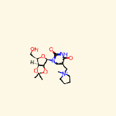 CC1(C)OC2[C@@H](O1)[C@@H](CO)O[C@H]2n1cc(C[N+]2(C)CCCC2)c(=O)[nH]c1=O